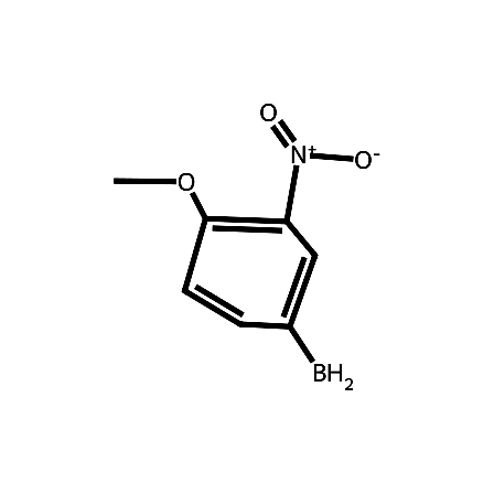 Bc1ccc(OC)c([N+](=O)[O-])c1